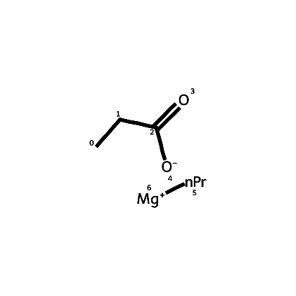 CCC(=O)[O-].CC[CH2][Mg+]